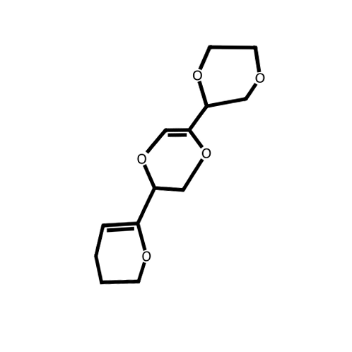 C1=C(C2COC(C3COCCO3)=CO2)OCCC1